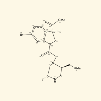 COC[C@H]1CN[C@H](C)CN1CC(=O)N1CC(C)(C(=O)OC)c2ccc(Br)cc21